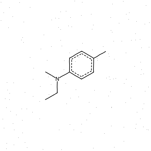 CCN(C)c1ccc(C)cc1